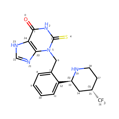 O=c1[nH]c(=S)n(Cc2ccccc2[C@@H]2C[C@@H](C(F)(F)F)CCN2)c2nc[nH]c12